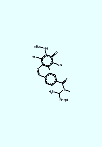 CCCCCCCC(N)N(C)C(=O)c1ccc(/N=N\c2c(C)c(C#N)c(=O)n(NCCCC)c2O)cc1